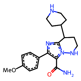 COc1ccc(-c2nc3n(c2C(N)=O)NCCC3C2CCNCC2)cc1